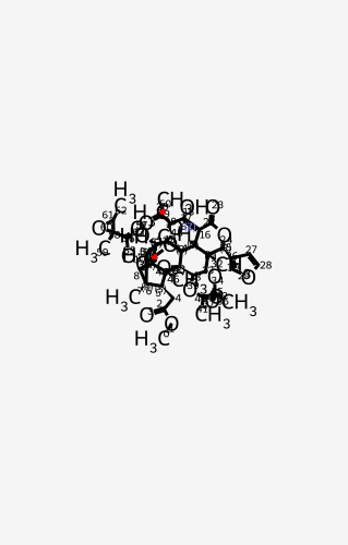 COC(=O)C[C@H]1[C@@]2(C)C[C@@]34O[C@]5(C)O[C@]6([C@@H]7/C(=C(/O)C(C)C)C(=O)O[C@@H](c8ccoc8)[C@]7(C)C(OC(C)=O)C(OC(C)=O)[C@]6(O5)[C@]13C)[C@H](OC(C)=O)[C@@]4(O)[C@H]2OC(=O)C1(C)OC1C